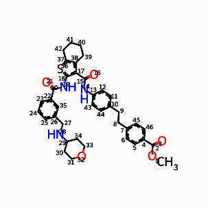 COC(=O)c1ccc(CCc2ccc(NC(=O)c3c(NC(=O)c4cccc(CNC5CCOCC5)c4)sc4c3CCCC4)cc2)cc1